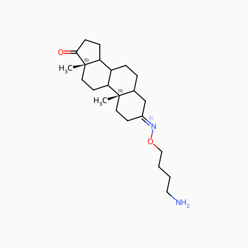 C[C@]12CC/C(=N\OCCCCN)CC1CCC1C2CC[C@]2(C)C(=O)CCC12